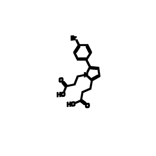 O=C(O)CCc1ccc(-c2ccc(Br)cc2)n1CCC(=O)O